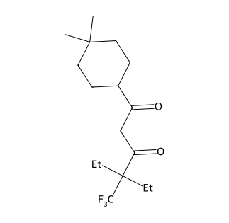 CCC(CC)(C(=O)CC(=O)C1CCC(C)(C)CC1)C(F)(F)F